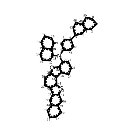 c1ccc2cc(-c3ccc(N(c4cccc5ccccc45)c4cccc5c4oc4ccc6c7cc8ccccc8cc7sc6c45)cc3)ccc2c1